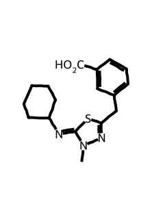 Cn1nc(Cc2cccc(C(=O)O)c2)sc1=NC1CCCCC1